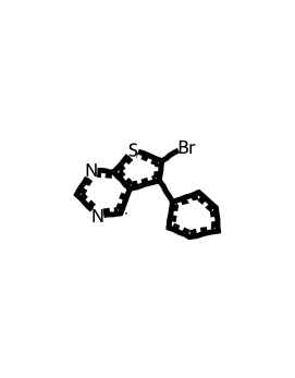 Brc1sc2ncn[c]c2c1-c1ccccc1